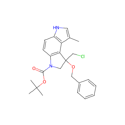 Cc1c[nH]c2ccc3c(c12)C(CCl)(OCc1ccccc1)CN3C(=O)OC(C)(C)C